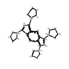 c1c2c(cc3c1=C(N1CCCC1)N=C3N1CCCC1)=C(N1CCCC1)N=C2N1CCCC1